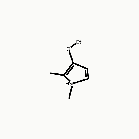 CCOC1=C(C)[SiH](C)C=C1